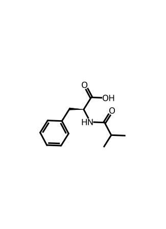 CC(C)C(=O)N[C@@H](Cc1ccccc1)C(=O)O